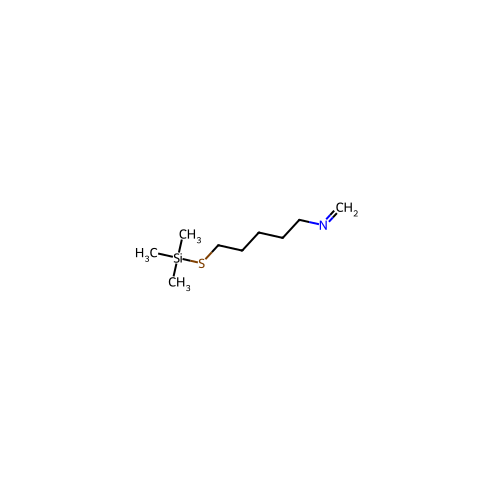 C=NCCCCCS[Si](C)(C)C